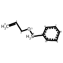 C=CCO[SiH2]c1ccccc1